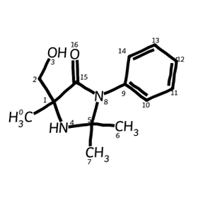 CC1(CO)NC(C)(C)N(c2cc[c]cc2)C1=O